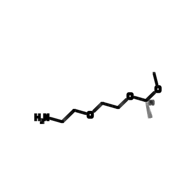 CO[C@H](C)OCCOCCN